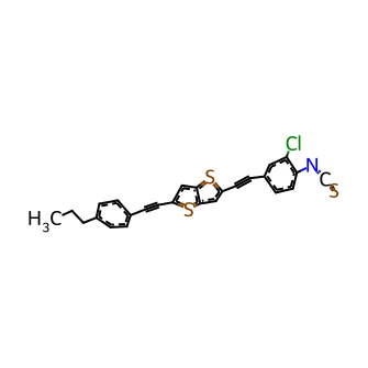 CCCc1ccc(C#Cc2cc3sc(C#Cc4ccc(N=C=S)c(Cl)c4)cc3s2)cc1